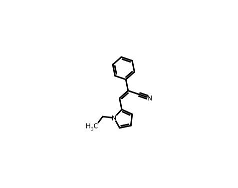 CCn1cccc1C=C(C#N)c1ccccc1